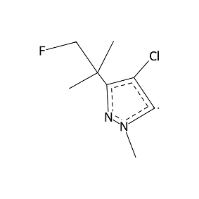 Cn1[c]c(Cl)c(C(C)(C)CF)n1